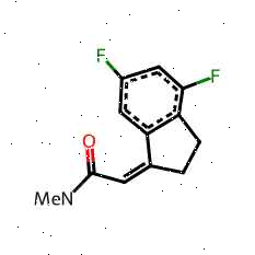 CNC(=O)/C=C1/CCc2c(F)cc(F)cc21